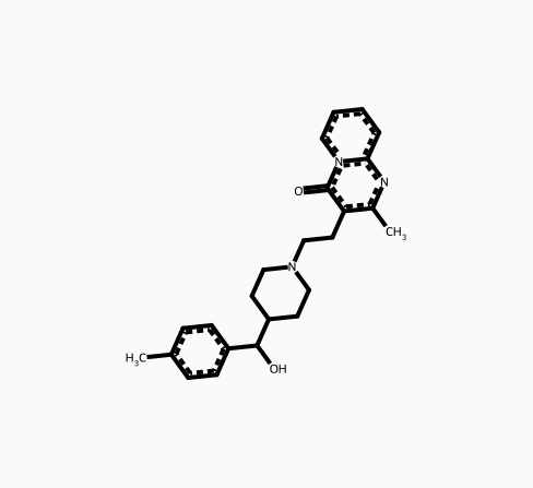 Cc1ccc(C(O)C2CCN(CCc3c(C)nc4ccccn4c3=O)CC2)cc1